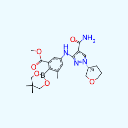 COC(=O)c1cc(Nc2nn([C@@H]3CCCOC3)cc2C(N)=O)cc(C)c1B1OCC(C)(C)CO1